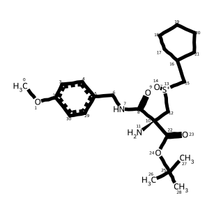 COc1ccc(CNC(=O)[C@](N)(C[S+]([O-])CC2CCCCC2)C(=O)OC(C)(C)C)cc1